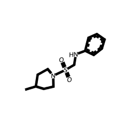 CC1CCN(S(=O)(=O)CNc2ccccc2)CC1